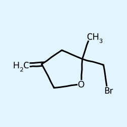 C=C1COC(C)(CBr)C1